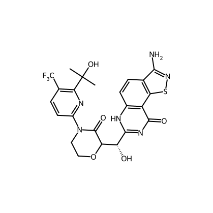 CC(C)(O)c1nc(N2CCOC([C@@H](O)c3nc(=O)c4c(ccc5c(N)nsc54)[nH]3)C2=O)ccc1C(F)(F)F